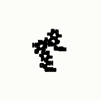 COC(=O)Nc1ccc(-c2cc(C[C@H](NC(=O)OC(C)(C)C)c3ccccc3)n[nH]c2=O)cc1